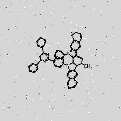 CC1C=c2c(n(-c3ccccc3)c3cc4c(cc23)C=CCC4)=C2C1c1cc3ccccc3cc1N2c1ccc(-c2nc(-c3ccccc3)cc(-c3ccccc3)n2)cc1